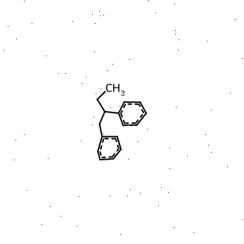 CCC(Cc1ccccc1)c1ccccc1